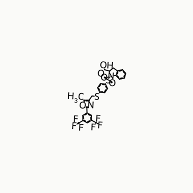 Cc1oc(-c2cc(C(F)(F)F)cc(C(F)(F)F)c2)nc1CSc1ccc(S(=O)(=O)N2c3ccccc3CC2C(=O)O)cc1